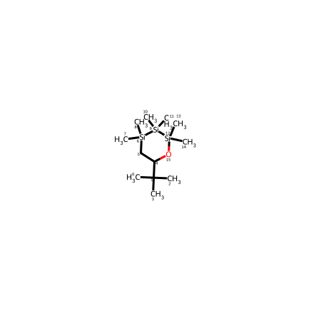 CC(C)(C)C1C[Si](C)(C)[Si](C)(C)[Si](C)(C)O1